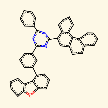 c1ccc(-c2nc(-c3cccc(-c4cccc5oc6ccccc6c45)c3)nc(-c3cc4ccc5ccccc5c4c4ccccc34)n2)cc1